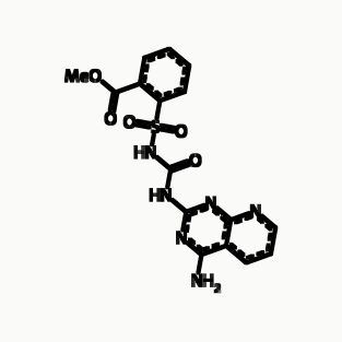 COC(=O)c1ccccc1S(=O)(=O)NC(=O)Nc1nc(N)c2cccnc2n1